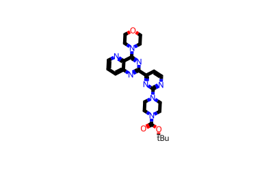 CC(C)(C)OC(=O)N1CCN(c2nccc(-c3nc(N4CCOCC4)c4ncccc4n3)n2)CC1